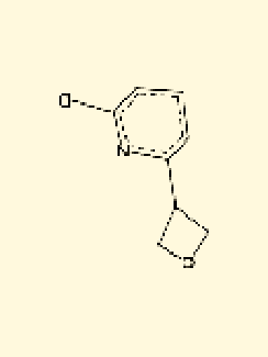 Clc1cccc(C2COC2)n1